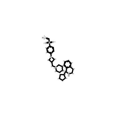 C=CS(=O)(=O)c1ccc(N2CC(CN3CCC([C@@]4(C5CCCC5)NCCc5ccccc54)CC3)C2)cc1